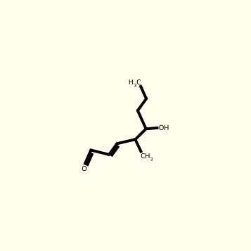 CCCC(O)C(C)C=CC=O